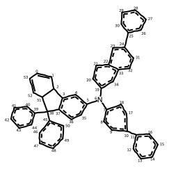 C1=CC2c3cc(N(c4ccc(-c5ccccc5)cc4)c4ccc5cc(-c6ccccc6)ccc5c4)ccc3C(c3ccccc3)(c3ccccc3)C2C=C1